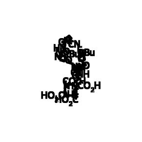 CC(C)(C)[Si](F)(c1ccc(C(=O)NCC(NC(=O)CCC(C(=O)O)N2CCN(CC(=O)O)CCN(CC(=O)O)CCN(CC(=O)O)CC2)C(=O)NCCCOc2ccc3ncnc(C(=O)NCC(=O)N4CCC[C@H]4C#N)c3c2)cc1)C(C)(C)C